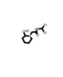 CCC(CC)NC(=O)CN1CCCCC1C=O